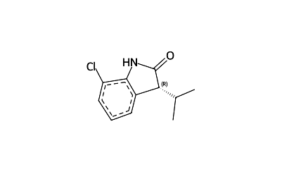 CC(C)[C@H]1C(=O)Nc2c(Cl)cccc21